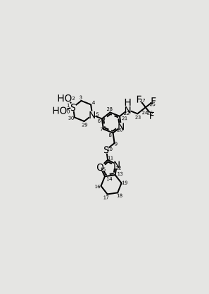 OS1(O)CCN(c2cc(CSc3nc4c(o3)CCCC4)nc(NCC(F)(F)F)c2)CC1